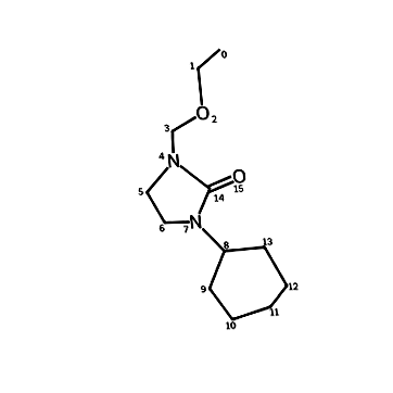 CCOCN1CCN(C2CCCCC2)C1=O